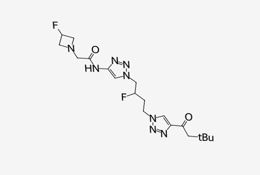 CC(C)(C)CC(=O)c1cn(CCC(F)Cn2cc(NC(=O)CN3CC(F)C3)nn2)nn1